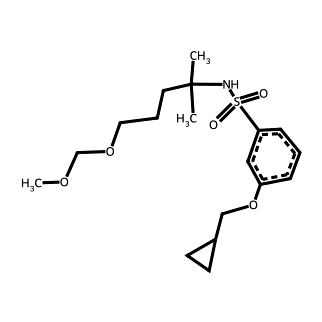 COCOCCCC(C)(C)NS(=O)(=O)c1cccc(OCC2CC2)c1